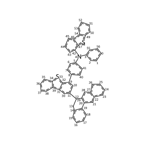 c1ccc(N(c2ccc(-c3cc(C4Cc5ccccc5-c5cc6ccccc6cc54)cc4c3sc3ccccc34)cc2)c2cccc3c2sc2ccccc23)cc1